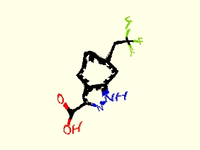 O=C(O)c1n[nH]c2cc(CC(F)(F)F)ccc12